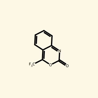 O=c1nc2ccccc2c(C(F)(F)F)o1